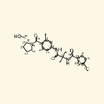 Cc1cc(NC(=O)C(C)(C)NC(=O)c2ccc(Cl)s2)ccc1C(=O)N1CCC[C@@H]1CO